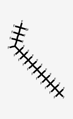 FC(C(F)(F)C(F)(F)C(F)(F)Br)C(F)(F)C(F)(F)C(F)(F)C(F)(F)C(F)(F)C(F)(F)C(F)(F)C(F)(F)C(F)(F)C(F)(F)F